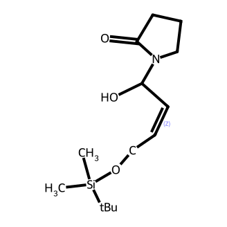 CC(C)(C)[Si](C)(C)OC/C=C\C(O)N1CCCC1=O